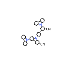 N#Cc1cc(-c2ccc(-n3c4ccc(-n5c6ccccc6c6ccccc65)cc4c4ccc(C#N)cc43)cc2)cc(-n2c3ccccc3c3ccccc32)c1